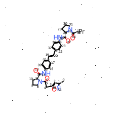 Cc1cc(CC(=O)N2CCC[C@H]2C(=O)Nc2ccc(/C=C/c3ccc(NC(=O)[C@@H]4CCCN4C(=O)C(C)C)cc3)cc2)on1